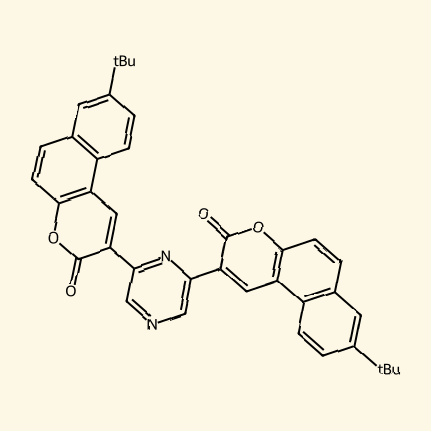 CC(C)(C)c1ccc2c(ccc3oc(=O)c(-c4cncc(-c5cc6c(ccc7cc(C(C)(C)C)ccc76)oc5=O)n4)cc32)c1